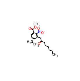 C=C.CCCCCCC(=O)Cc1cccc(C(=O)OC)c1[N+](=O)[O-]